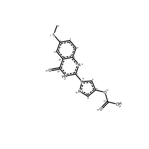 CSc1ccc2nc(-n3cc(OC(=O)O)cn3)[nH]c(=O)c2c1